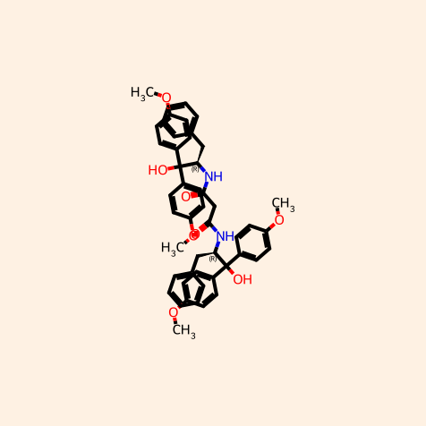 COc1ccc(C(O)(c2ccc(OC)cc2)[C@@H](Cc2ccccc2)NC(=O)CC(=O)N[C@H](Cc2ccccc2)C(O)(c2ccc(OC)cc2)c2ccc(OC)cc2)cc1